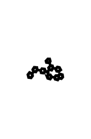 C1=CC(c2cccc(-c3ccccc3)c2)CC=C1N(c1cccc(-c2ccc3ccccc3c2)c1)c1cc(-c2ccccc2)cc(-c2ccccc2)c1